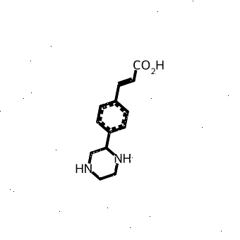 O=C(O)/C=C/c1ccc(C2CNCCN2)cc1